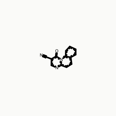 N#Cc1cnc2ccc3ccccc3n2c1=O